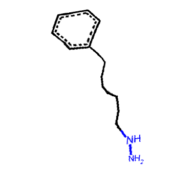 NNCCCCc1ccccc1